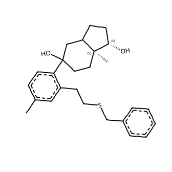 Cc1ccc(C2(O)CC[C@@]3(C)C(CC[C@@H]3O)C2)c(CCSCc2ccccc2)c1